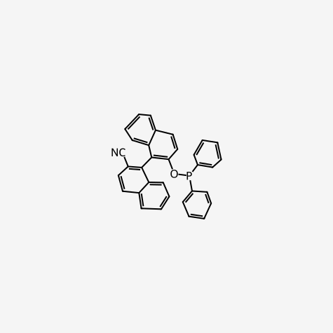 N#Cc1ccc2ccccc2c1-c1c(OP(c2ccccc2)c2ccccc2)ccc2ccccc12